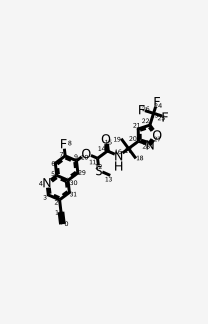 C#Cc1cnc2cc(F)c(OC(SC)C(=O)NC(C)(C)c3cc(C(F)(F)F)on3)cc2c1